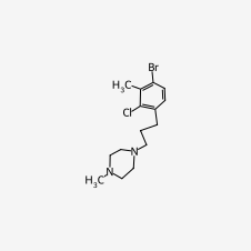 Cc1c(Br)ccc(CCCN2CCN(C)CC2)c1Cl